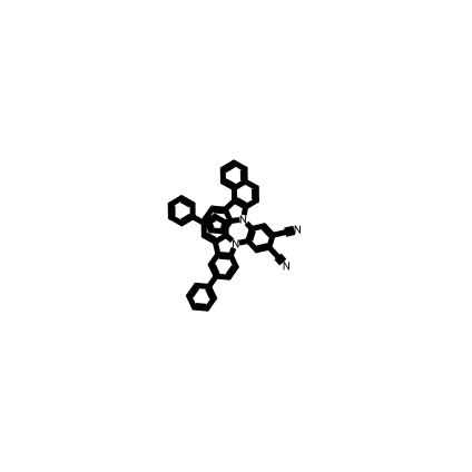 N#Cc1cc(-n2c3ccc(-c4ccccc4)cc3c3cc(-c4ccccc4)ccc32)c(-n2c3ccccc3c3c4ccccc4ccc32)cc1C#N